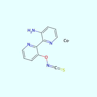 Nc1cccnc1-c1ncccc1ON=C=S.[Co]